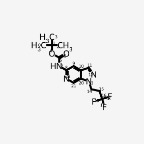 CC(C)(C)OC(=O)Nc1cc2cnn(CCC(F)(F)F)c2cn1